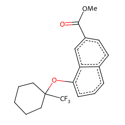 COC(=O)c1ccc2cccc(OC3(C(F)(F)F)CCCCC3)c2c1